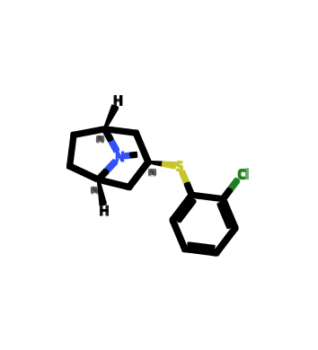 CN1[C@@H]2CC[C@H]1C[C@H](Sc1ccccc1Cl)C2